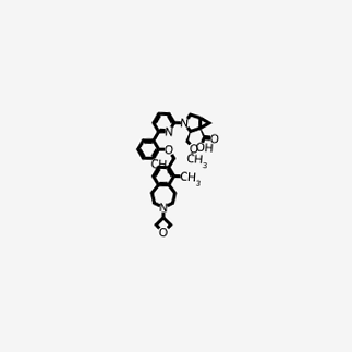 COC[C@H]1N(c2cccc(-c3cccc(C)c3OCc3ccc4c(c3C)CCN(C3COC3)CC4)n2)CC2C[C@@]21C(=O)O